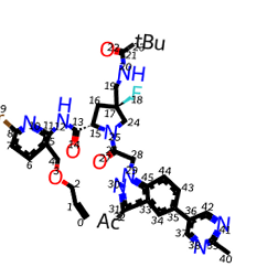 C=CCOCc1ccc(Br)nc1NC(=O)[C@@H]1C[C@](F)(CNC(=O)C(C)(C)C)CN1C(=O)Cn1nc(C(C)=O)c2cc(-c3cnc(C)nc3)ccc21